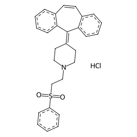 Cl.O=S(=O)(CCN1CCC(=C2c3ccccc3C=Cc3ccccc32)CC1)c1ccccc1